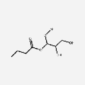 CCCC(=O)OC(O[N])C(O)CO